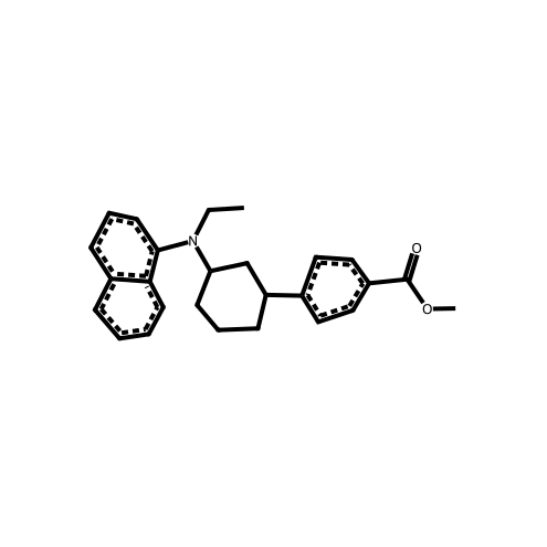 CCN(c1cccc2ccccc12)C1CCCC(c2ccc(C(=O)OC)cc2)C1